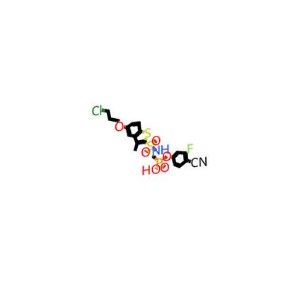 Cc1c(S(=O)(=O)NCP(=O)(O)Oc2ccc(C#N)c(F)c2)sc2ccc(OCCCCl)cc12